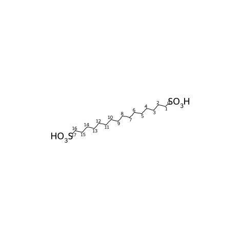 O=S(=O)(O)CCCCCCCCCCCCCCCCS(=O)(=O)O